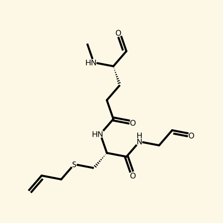 C=CCSC[C@H](NC(=O)CC[C@@H](C=O)NC)C(=O)NCC=O